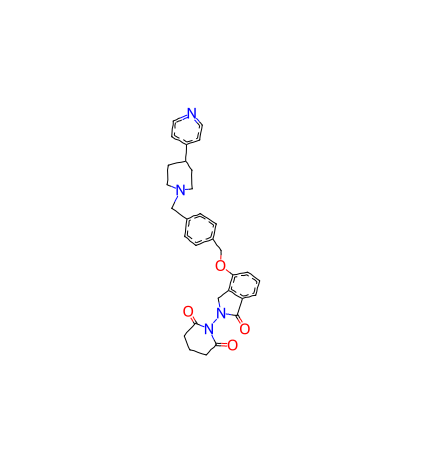 O=C1c2cccc(OCc3ccc(CN4CCC(c5ccncc5)CC4)cc3)c2CN1N1C(=O)CCCC1=O